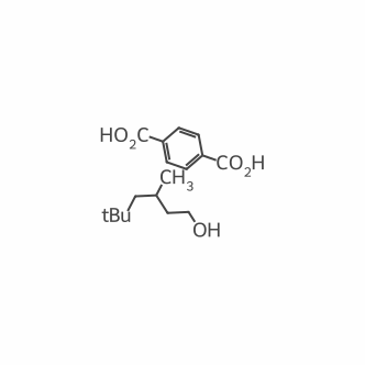 CC(CCO)CC(C)(C)C.O=C(O)c1ccc(C(=O)O)cc1